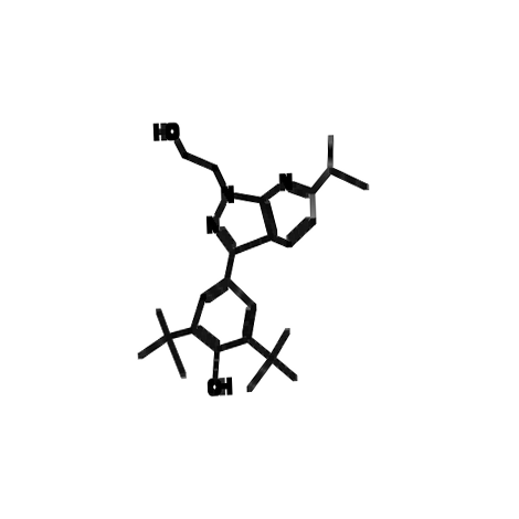 CC(C)c1ccc2c(-c3cc(C(C)(C)C)c(O)c(C(C)(C)C)c3)nn(CCO)c2n1